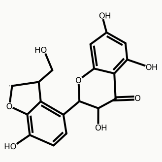 O=C1c2c(O)cc(O)cc2OC(c2ccc(O)c3c2C(CO)[CH]O3)C1O